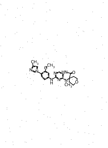 COc1cc(Nc2ncc3c(n2)N(C)C2(CCOCC2)C(=O)N3)ccc1-n1cnc(C)c1